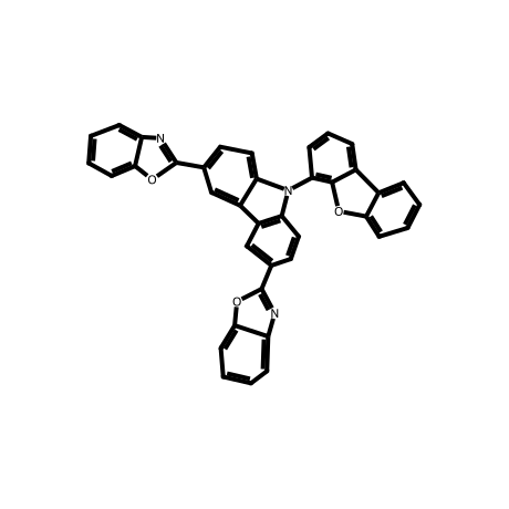 c1ccc2oc(-c3ccc4c(c3)c3cc(-c5nc6ccccc6o5)ccc3n4-c3cccc4c3oc3ccccc34)nc2c1